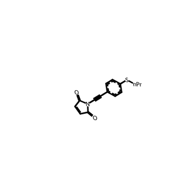 CCCSc1ccc(C#CN2C(=O)C=CC2=O)cc1